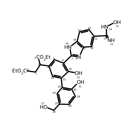 CCOC(=O)CC(C(=O)OCC)c1cc(-c2nc3cc(C(=N)NO)ccc3[nH]2)c(O)c(-c2cc(CO)ccc2O)c1